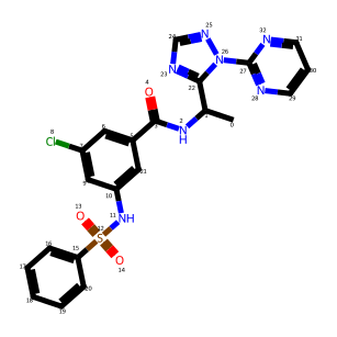 CC(NC(=O)c1cc(Cl)cc(NS(=O)(=O)c2ccccc2)c1)c1ncnn1-c1ncccn1